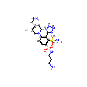 NCCCNS(=O)(=O)c1ccc(N2CC[C@@H](CN)[C@@H](F)C2)c(-c2nn[nH]n2)c1S(N)(=O)=O